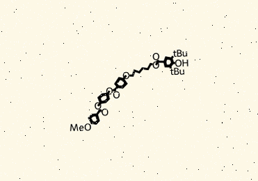 COc1ccc(C(=O)Oc2ccc(OC(=O)c3ccc(OCCCCCCOC(=O)c4cc(C(C)(C)C)c(O)c(C(C)(C)C)c4)cc3)cc2)cc1